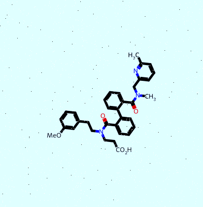 COc1cccc(CCN(CCC(=O)O)C(=O)c2ccccc2-c2ccccc2C(=O)N(C)Cc2cccc(C)n2)c1